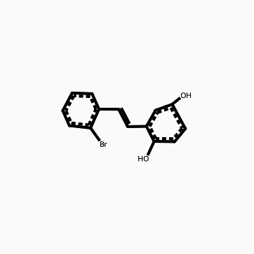 Oc1ccc(O)c(C=Cc2ccccc2Br)c1